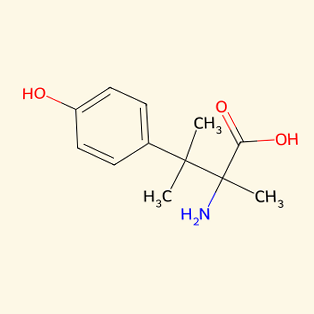 CC(N)(C(=O)O)C(C)(C)c1ccc(O)cc1